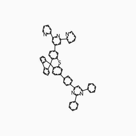 c1ccc(-c2cc(-c3ccc(-c4ccc5c(c4)Sc4cc(-c6cc(-c7ccccn7)nc(-c7ccccn7)c6)ccc4C54c5ccccc5-c5ccccc54)cc3)nc(-c3ccccc3)n2)cc1